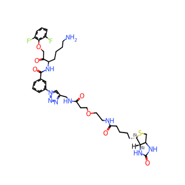 NCCCCC(NC(=O)c1cccc(-n2cc(CNC(=O)CCOCCNC(=O)CCCC[C@@H]3SCC4NC(=O)N[C@@H]43)nn2)c1)C(=O)COc1c(F)cccc1F